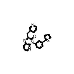 O=c1c(Cc2cccnc2)nc2cccnc2n1-c1cccc(-c2cccs2)c1